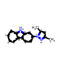 Cc1cc(C)n(-c2ccc3c(c2)[nH]c2ccccc23)n1